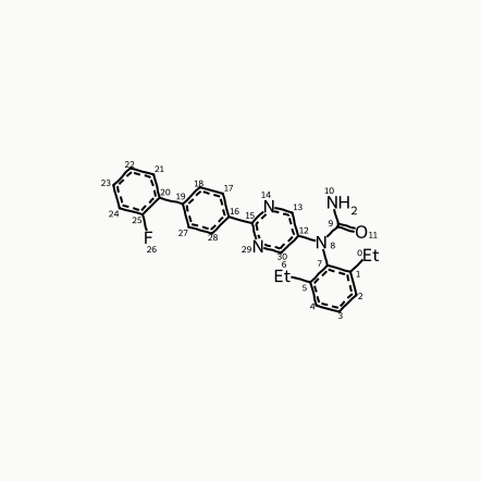 CCc1cccc(CC)c1N(C(N)=O)c1cnc(-c2ccc(-c3ccccc3F)cc2)nc1